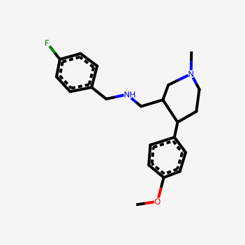 COc1ccc(C2CCN(C)CC2CNCc2ccc(F)cc2)cc1